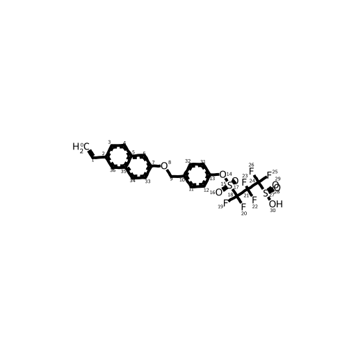 C=Cc1ccc2cc(OCc3ccc(OS(=O)(=O)C(F)(F)C(F)(F)C(F)(F)S(=O)(=O)O)cc3)ccc2c1